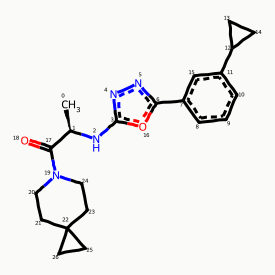 C[C@@H](Nc1nnc(-c2cccc(C3CC3)c2)o1)C(=O)N1CCC2(CC1)CC2